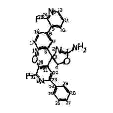 NC1=NC2(CO1)c1cc(-c3cccnc3F)ccc1Oc1c2cc(-c2ccccc2)nc1F